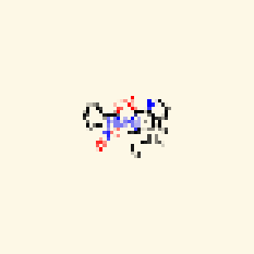 CC(C)(C)N(NC(=O)c1ccccc1[N+](=O)[O-])C(=O)c1ccccn1